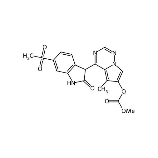 COC(=O)Oc1cn2ncnc(C3C(=O)Nc4cc(S(C)(=O)=O)ccc43)c2c1C